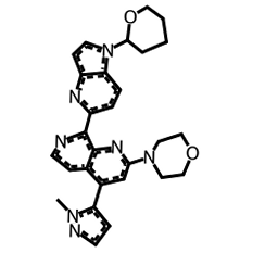 Cn1nccc1-c1cc(N2CCOCC2)nc2c(-c3ccc4c(ccn4C4CCCCO4)n3)nccc12